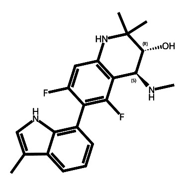 CN[C@H]1c2c(cc(F)c(-c3cccc4c(C)c[nH]c34)c2F)NC(C)(C)[C@@H]1O